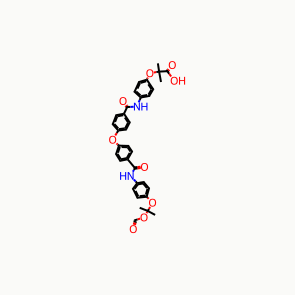 CC(C)(OC=O)Oc1ccc(NC(=O)c2ccc(Oc3ccc(C(=O)Nc4ccc(OC(C)(C)C(=O)O)cc4)cc3)cc2)cc1